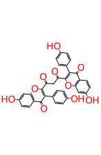 O=C(CC(=O)c1oc2cc(O)ccc2c(=O)c1-c1ccc(O)cc1)c1oc2cc(O)ccc2c(=O)c1-c1ccc(O)cc1